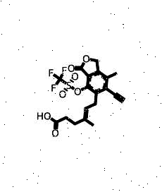 C#Cc1c(C)c2c(c(OS(=O)(=O)C(F)(F)F)c1C/C=C(\C)CCC(=O)O)C(=O)OC2